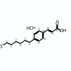 CCCCCCCc1ccc(C=CC(=O)O)cc1.Cl